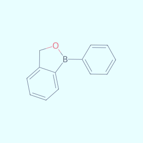 c1ccc(B2OCc3ccccc32)cc1